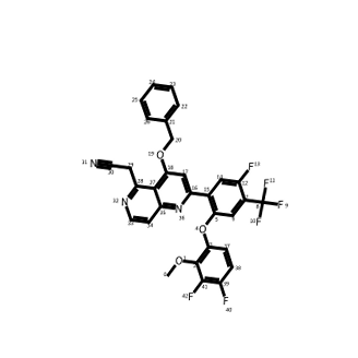 COc1c(Oc2cc(C(F)(F)F)c(F)cc2-c2cc(OCc3ccccc3)c3c(CC#N)nccc3n2)ccc(F)c1F